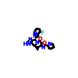 O=C(c1oc(-c2ccccn2)nc1C1CC1)N1CCc2[nH]cnc2[C@@H]1c1cc2c(F)cccn2n1